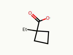 CCC1(C([O])=O)CCC1